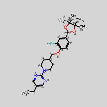 CCc1cnc(N2CCC(COc3ccc(B4OC(C)(C)C(C)(C)O4)cc3F)CC2)nc1